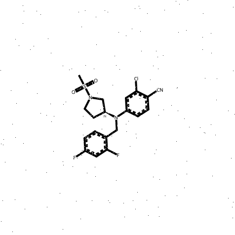 CS(=O)(=O)N1CC[C@H](N(Cc2ccc(F)cc2F)c2ccc(C#N)c(Cl)c2)C1